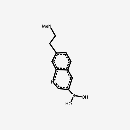 CNCCc1ccc2cc(B(O)O)cnc2c1